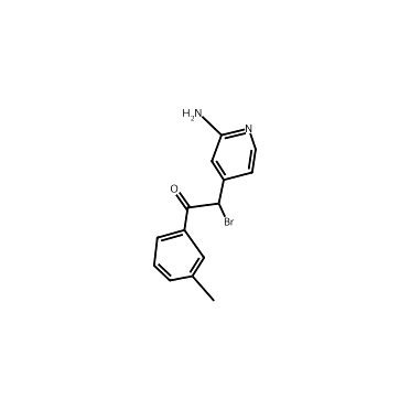 Cc1cccc(C(=O)C(Br)c2ccnc(N)c2)c1